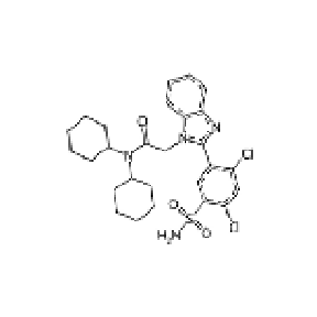 NS(=O)(=O)c1cc(-c2nc3ccccc3n2CC(=O)N(C2CCCCC2)C2CCCCC2)c(Cl)cc1Cl